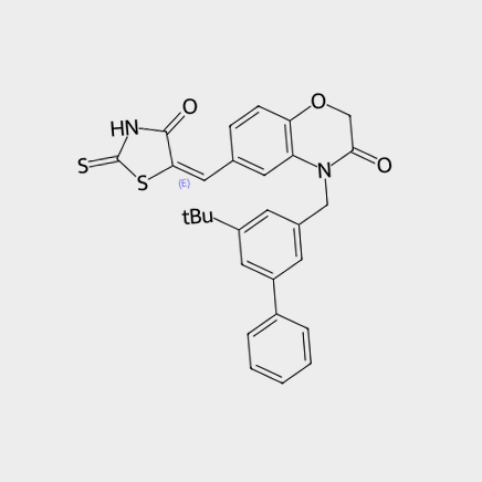 CC(C)(C)c1cc(CN2C(=O)COc3ccc(/C=C4/SC(=S)NC4=O)cc32)cc(-c2ccccc2)c1